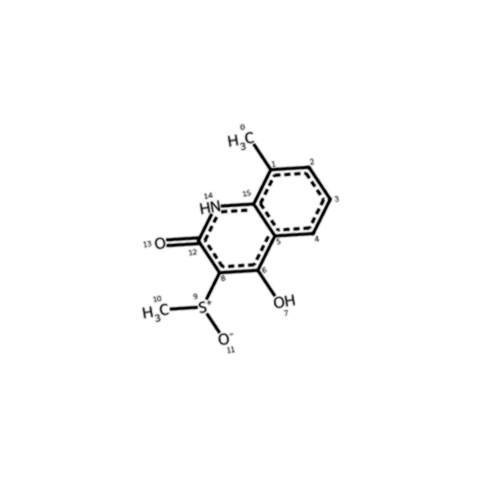 Cc1cccc2c(O)c([S+](C)[O-])c(=O)[nH]c12